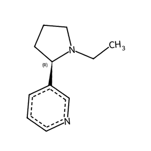 CCN1CCC[C@@H]1c1cccnc1